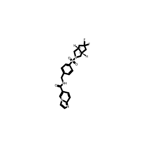 O=C(NCc1ccc(S(=O)(=O)N2C[C@@H]3CC(F)(F)C[C@@H]3C2)cc1)c1ccc2nccn2c1